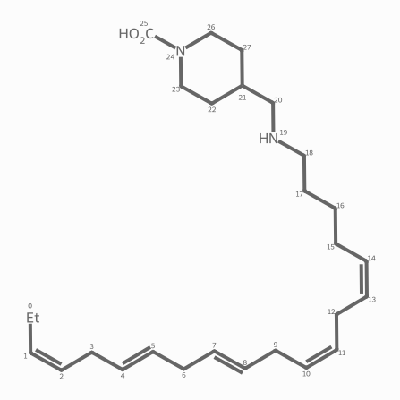 CC/C=C\CC=CCC=CC/C=C\C/C=C\CCCCNCC1CCN(C(=O)O)CC1